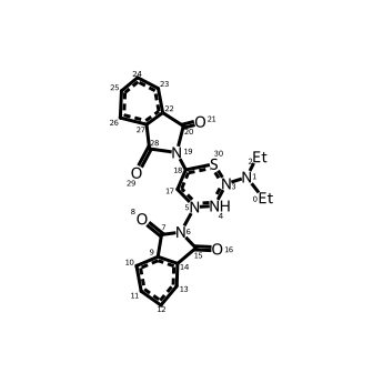 CCN(CC)n1[nH]n(N2C(=O)c3ccccc3C2=O)cc(N2C(=O)c3ccccc3C2=O)s1